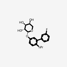 CCCc1ccc(O[C@H]2OC[C@H](O)[C@H](O)[C@H]2O)cc1-c1cccc(F)c1